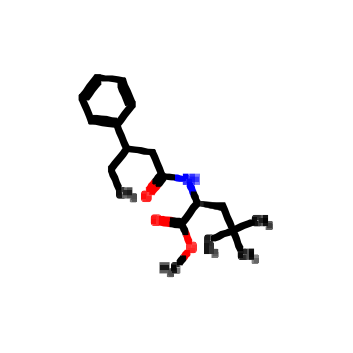 CCC(CC(=O)N[C@@H](CC(C)(C)C)C(=O)OC)c1ccccc1